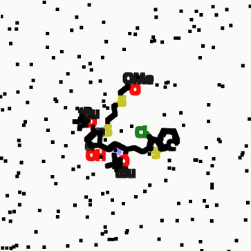 COC(=O)CSCCCS[C@H]1C(O[Si](C)(C)C(C)(C)C)=C[C@@H](O)C1/C=C/C(CCc1sc2ccccc2c1Cl)O[Si](C)(C)C(C)(C)C